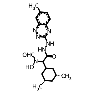 Cc1ccc2nc(NNC(=O)C(C3C[C@@H](C)C[C@@H](C)C3)N(O)C=O)nnc2c1